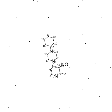 Cc1nccc(N2CCN(C3CCCCC3)CC2)c1[N+](=O)[O-]